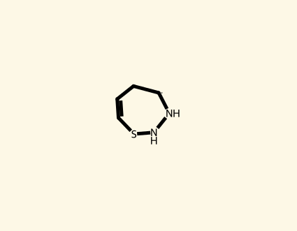 [CH]1CC=CSNN1